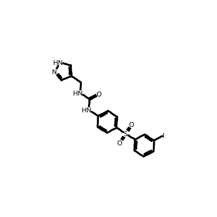 O=C(NCc1cn[nH]c1)Nc1ccc(S(=O)(=O)c2cccc(I)c2)cc1